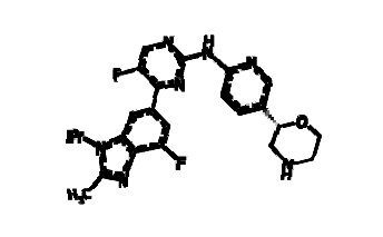 Cc1nc2c(F)cc(-c3nc(Nc4ccc([C@H]5CNCCO5)cn4)ncc3F)cc2n1C(C)C